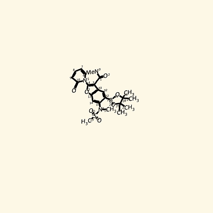 CNC(=O)c1c(-n2ccccc2=O)oc2cc(N(C)S(C)(=O)=O)c(B3OC(C)(C)C(C)(C)O3)cc12